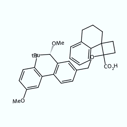 COc1ccc(F)c(-c2ccc(COC3(C(=O)O)CCC34CCCc3ccccc34)cc2[C@@H](OC)C(C)(C)C)c1